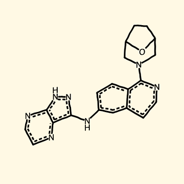 c1cc2cc(Nc3n[nH]c4nccnc34)ccc2c(N2CC3CCC(C2)O3)n1